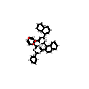 C1=C(c2ccccc2)NC(c2c(-c3nc(-c4ccccc4)nc(-c4ccccc4)n3)ccc3ccccc23)N=C1c1cccc2ccccc12